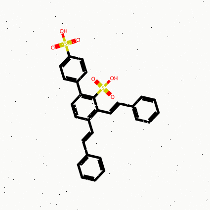 O=S(=O)(O)c1ccc(-c2ccc(C=Cc3ccccc3)c(C=Cc3ccccc3)c2S(=O)(=O)O)cc1